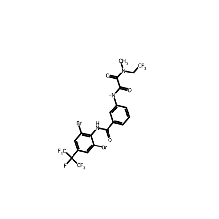 CN(CC(F)(F)F)C(=O)C(=O)Nc1cccc(C(=O)Nc2c(Br)cc(C(F)(C(F)(F)F)C(F)(F)F)cc2Br)c1